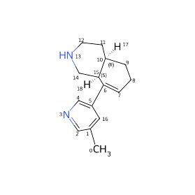 Cc1cncc(C2=CCC[C@@H]3CCNC[C@H]23)c1